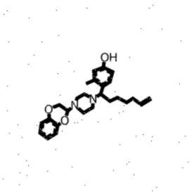 C=CCCCCC(c1ccc(O)cc1C)N1CCN(C2COc3ccccc3O2)CC1